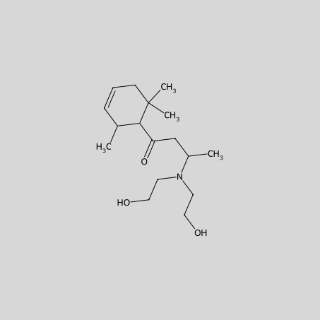 CC1C=CCC(C)(C)C1C(=O)CC(C)N(CCO)CCO